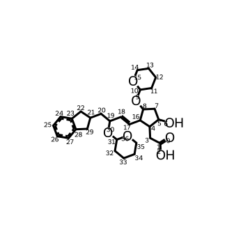 O=C(O)CC1C(O)CC(OC2CCCCO2)C1C=CC(CC1Cc2ccccc2C1)OC1CCCCO1